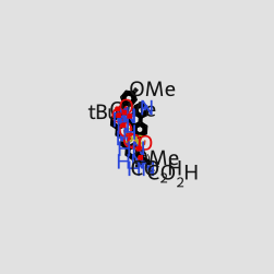 COc1ccc(CN(Cc2ccc(OC)cc2)S(=O)(=O)c2c(S(=O)(=O)NC[C@H](CNC(=O)O)NC(=O)O)ccc(-c3cnccc3NC(=O)OC(C)(C)C)c2-c2nnn(Cc3ccc(OC)cc3)n2)cc1